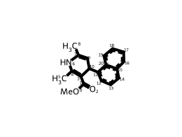 COC(=O)C1=C(C)NC(C)=CC1c1cccc2ccccc12